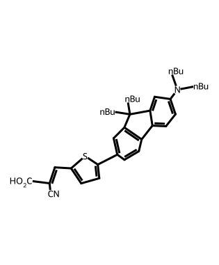 CCCCN(CCCC)c1ccc2c(c1)C(CCCC)(CCCC)c1cc(-c3ccc(/C=C(\C#N)C(=O)O)s3)ccc1-2